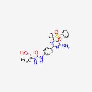 C[C@H](CO)NC(=O)Nc1ccc(-c2nc(N)cc(C3(S(=O)(=O)c4ccccc4)CCC3)n2)cc1